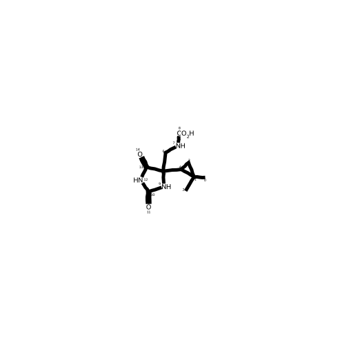 CC1(C)CC1C1(CNC(=O)O)NC(=O)NC1=O